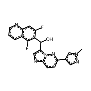 Cn1cc(-c2ccc3ncc(C(O)c4c(F)cc5ncccc5c4F)n3n2)cn1